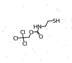 O=C(NCCS)OCC(Cl)(Cl)Cl